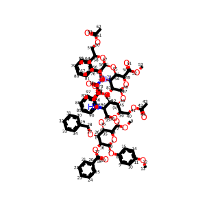 COC(=O)C1O[C@@H](Oc2ccc(OC)cc2)C(OC(=O)c2ccccc2)[C@H](OCc2ccccc2)[C@@H]1O[C@H]1OC(COC(C)=O)[C@@H](O[C@@H]2OC(C(=O)OC)[C@H](O[C@@H]3OC(COC(C)=O)[C@@H](C)[C@H](C)C3NC(C)=O)[C@@H](OCc3ccccc3)C2OC(=O)c2ccccc2)[C@H](C)C1NC(C)=O